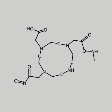 CNOC(=O)CN1CCNCCN(CC(=O)N=O)CCN(CC(=O)O)CC1